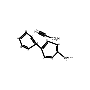 C#CC(=O)O.CCCCCc1ccc(-c2ccccc2)cc1